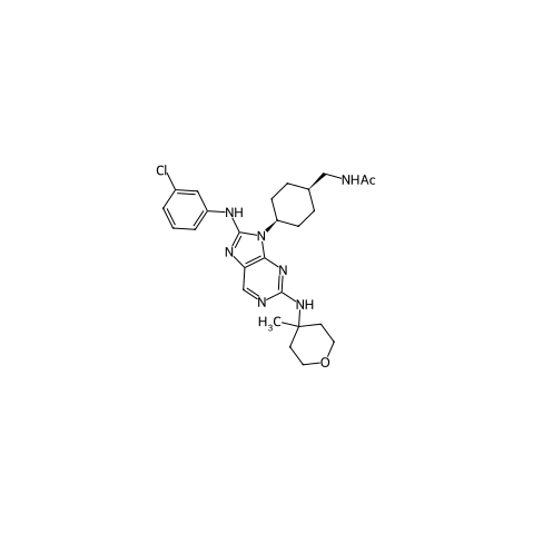 CC(=O)NC[C@H]1CC[C@@H](n2c(Nc3cccc(Cl)c3)nc3cnc(NC4(C)CCOCC4)nc32)CC1